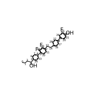 CCCC(O)c1ccc(-c2ccc(CCc3ccc(-c4ccc(O)c(F)c4)cc3)c(F)c2F)cc1